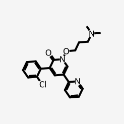 CN(C)CCCOn1cc(-c2ccccn2)cc(-c2ccccc2Cl)c1=O